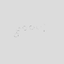 CC(C)C[C@H](NC(=O)c1ccc(-c2ccc(Nc3nc4ncc(C(F)(F)F)cc4s3)c(F)c2)cc1)C(=O)OC(=O)C(F)(F)F